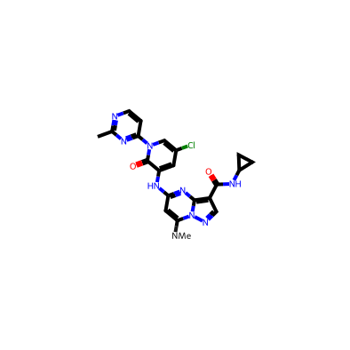 CNc1cc(Nc2cc(Cl)cn(-c3ccnc(C)n3)c2=O)nc2c(C(=O)NC3CC3)cnn12